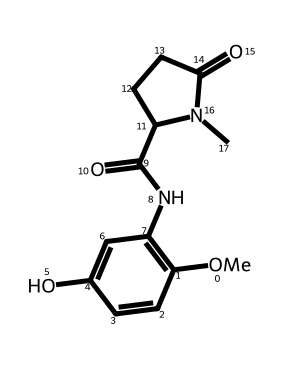 COc1ccc(O)cc1NC(=O)C1CCC(=O)N1C